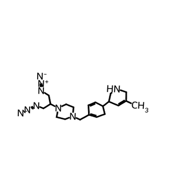 CC1=CC(C2C=CC(CN3CCN(C(CN=[N+]=[N-])CN=[N+]=[N-])CC3)=CC2)CNC1